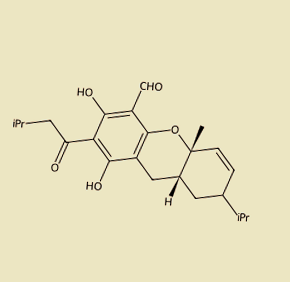 CC(C)CC(=O)c1c(O)c(C=O)c2c(c1O)C[C@H]1CC(C(C)C)C=C[C@@]1(C)O2